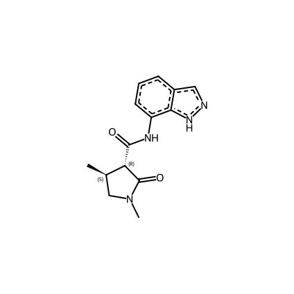 C[C@@H]1CN(C)C(=O)[C@H]1C(=O)Nc1cccc2cn[nH]c12